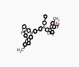 C=Cc1ccc(CC2(c3ccc(C(F)(F)F)cc3)C3=CC(N(c4ccc(-c5ccc(N(c6ccc7c(c6)C(Cc6ccc(C=C)cc6)(c6ccc(C(F)(F)F)cc6)c6ccccc6-7)C6C=CC(C7=CC=CCC7)=CC6)cc5)cc4)C4C=CC(c5ccccc5)=CC4)=CCC3(C)c3ccccc32)cc1